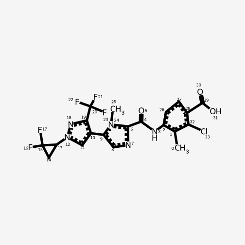 Cc1c(NC(=O)c2ncc(-c3cn(C4CC4(F)F)nc3C(F)(F)F)n2C)ccc(C(=O)O)c1Cl